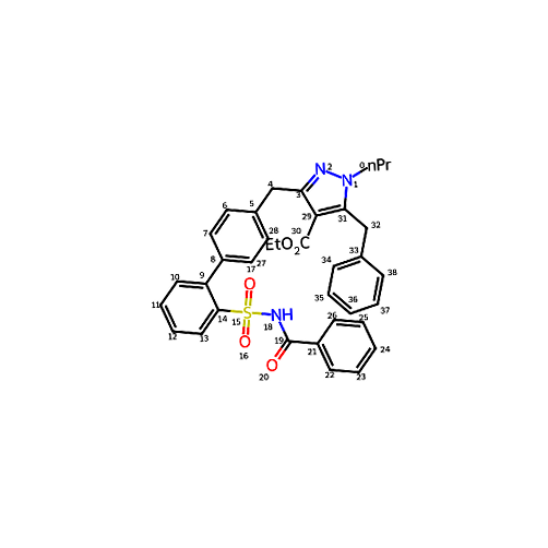 CCCn1nc(Cc2ccc(-c3ccccc3S(=O)(=O)NC(=O)c3ccccc3)cc2)c(C(=O)OCC)c1Cc1ccccc1